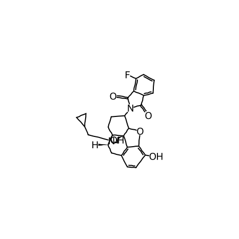 O=C1c2cccc(F)c2C(=O)N1C1CC[C@@]2(O)[C@H]3Cc4ccc(O)c5c4[C@@]2(CCN3CC2CC2)C1O5